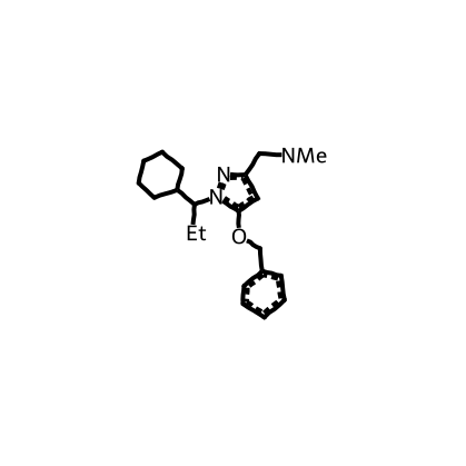 CCC(C1CCCCC1)n1nc(CNC)cc1OCc1ccccc1